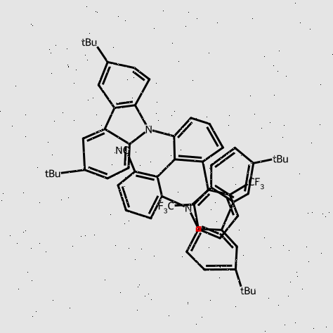 CC(C)(C)c1ccc2c(c1)c1cc(C(C)(C)C)ccc1n2-c1cccc(C#N)c1-c1c(-c2c(C(F)(F)F)cccc2C(F)(F)F)cccc1-n1c2ccc(C(C)(C)C)cc2c2cc(C(C)(C)C)ccc21